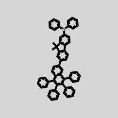 CC1(C)c2cc(-c3ccc4c(-c5ccccc5)c(-c5ccccc5)c(-c5ccccc5)c(-c5ccccc5)c4c3)ccc2-c2ccc(N(c3ccccc3)c3ccccc3)cc21